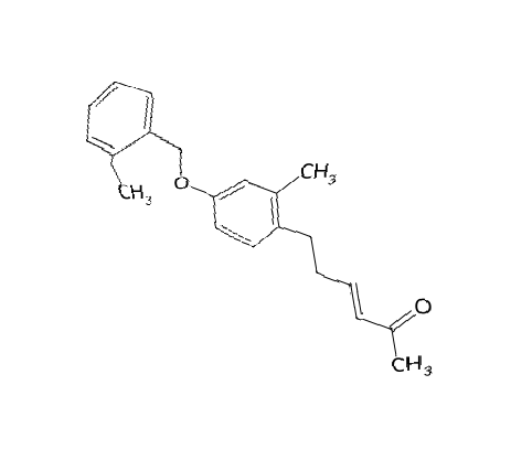 CC(=O)C=CCCc1ccc(OCc2ccccc2C)cc1C